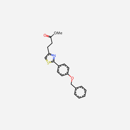 COC(=O)CCc1csc(-c2ccc(OCc3ccccc3)cc2)n1